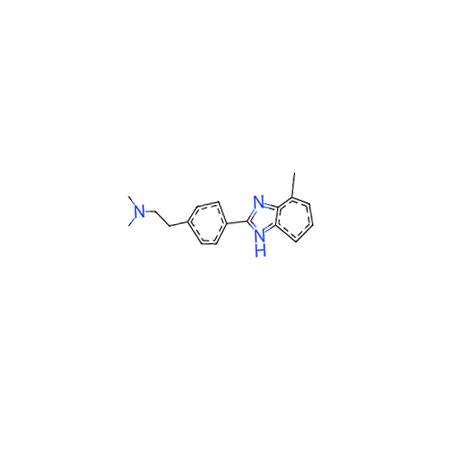 Cc1cccc2[nH]c(-c3ccc(CCN(C)C)cc3)nc12